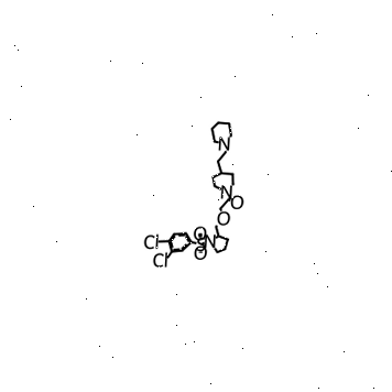 O=C(COCC1CCCN1S(=O)(=O)c1ccc(Cl)c(Cl)c1)N1CCC(CCN2CCCCC2)CC1